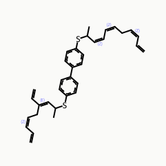 C=C/C=C\C/C=C\C=C/C(C)Sc1ccc(-c2ccc(SC(C)/C=C(/C=C)C/C=C\C=C)cc2)cc1